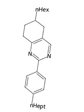 CCCCCCCc1ccc(-c2ncc3c(n2)CCC(CCCCCC)C3)cc1